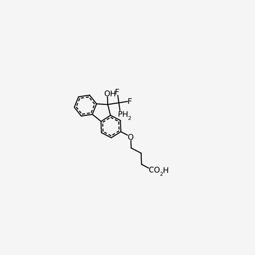 O=C(O)CCCOc1ccc2c(c1)C(O)(C(F)(F)P)c1ccccc1-2